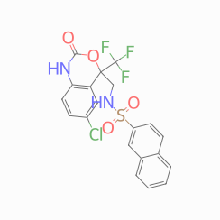 O=C1Nc2ccc(Cl)cc2C(CNS(=O)(=O)c2ccc3ccccc3c2)(C(F)(F)F)O1